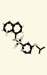 CC(C)Oc1ccnc(S(=O)(=O)Nc2cccc3cccnc23)c1